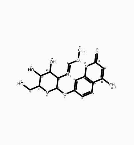 COC=NC1C(Oc2ccc3c(C)cc(=O)oc3c2)OC(CO)C(O)C1O